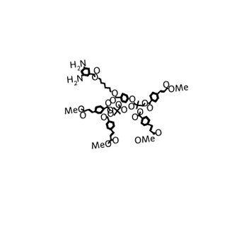 COC(=O)/C=C/c1ccc(C(=O)OCC(C)(COC(=O)c2ccc(/C=C/C(=O)OC)cc2)C(=O)Oc2ccc(C(=O)OCCCCCCOC(=O)c3cc(N)cc(N)c3)c(OC(=O)C(C)(COC(=O)c3ccc(/C=C/C(=O)OC)cc3)COC(=O)c3ccc(/C=C/C(=O)OC)cc3)c2)cc1